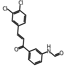 O=CNc1cccc(C(=O)C=Cc2ccc(Cl)c(Cl)c2)c1